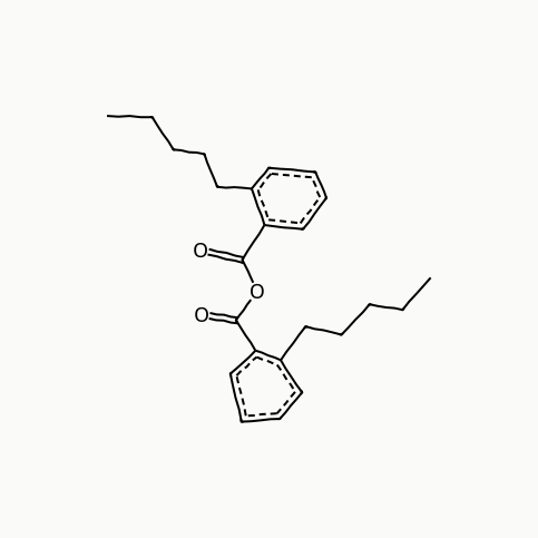 CCCCCc1ccccc1C(=O)OC(=O)c1ccccc1CCCCC